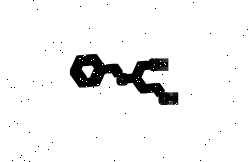 OCCC(CO)OCc1ccccc1